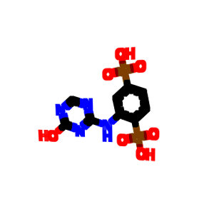 O=S(=O)(O)c1ccc(S(=O)(=O)O)c(Nc2ncnc(O)n2)c1